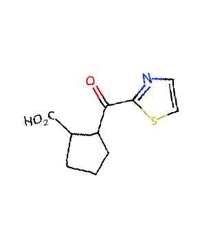 O=C(O)C1CCCC1C(=O)c1nccs1